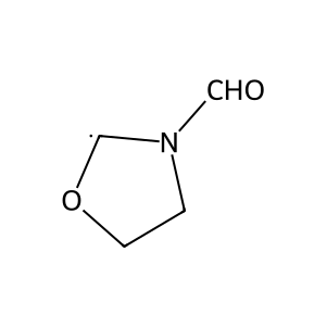 O=CN1[CH]OCC1